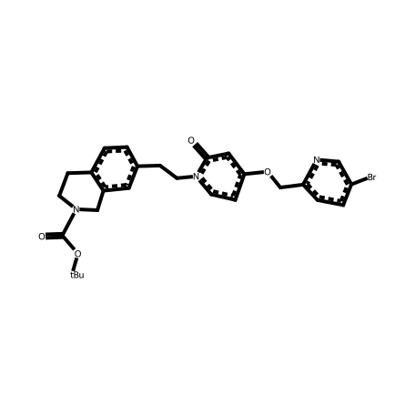 CC(C)(C)OC(=O)N1CCc2ccc(CCn3ccc(OCc4ccc(Br)cn4)cc3=O)cc2C1